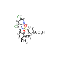 Cc1ccc(CN(c2ncc(Cl)cc2Cl)S(=O)(=O)c2ccc(C(=O)O)cc2)cc1C(F)(F)F